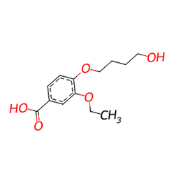 CCOc1cc(C(=O)O)ccc1OCCCCO